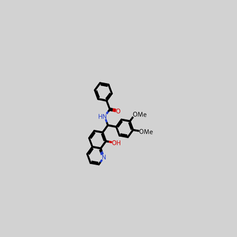 COc1ccc(C(NC(=O)c2ccccc2)c2ccc3cccnc3c2O)cc1OC